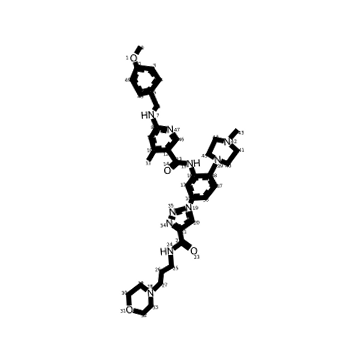 COc1ccc(CNc2cc(C)c(C(=O)Nc3cc(-n4cc(C(=O)NCCCN5CCOCC5)nn4)ccc3N3CCN(C)CC3)cn2)cc1